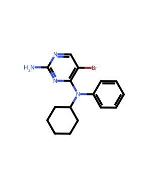 Nc1ncc(Br)c(N(c2ccccc2)C2CCCCC2)n1